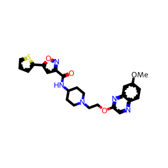 COc1ccc2ncc(OCCN3CCC(NC(=O)c4cc(-c5cccs5)on4)CC3)nc2c1